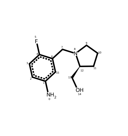 Nc1ccc(F)c(CN2CCC[C@H]2CO)c1